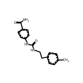 Cc1ccc(CCNC(=O)Nc2ccc(C(N)=O)cc2)cc1